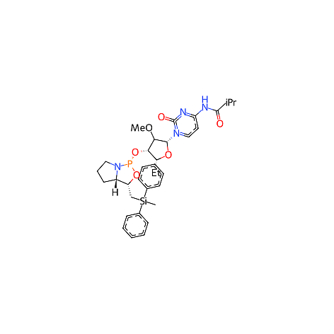 CC[C@H]1O[C@@H](n2ccc(NC(=O)C(C)C)nc2=O)C(OC)[C@H]1O[P@]1O[C@H](C[Si](C)(c2ccccc2)c2ccccc2)[C@@H]2CCCN21